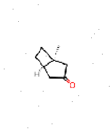 C[C@@]12CC[C@@H]1CC(=O)C2